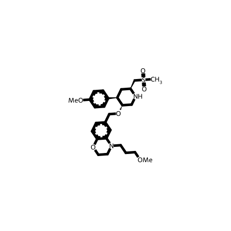 COCCCN1CCOc2ccc(CO[C@H]3CN[C@H](CS(C)(=O)=O)C[C@@H]3c3ccc(OC)cc3)cc21